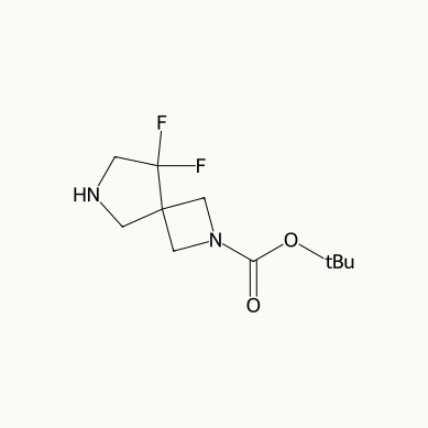 CC(C)(C)OC(=O)N1CC2(CNCC2(F)F)C1